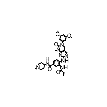 C=CC(=O)Nc1cc(C(=O)NC2CCN(C)CC2)ccc1Nc1ncc2c(n1)N(C)C(=O)N(c1cc(OC)cc(OC)c1)C2